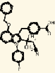 CC(C)(CC#N)c1c(Cc2ccc(C(=O)O)cc2)c2c(OCc3ccccc3)cccc2n1-c1ccc(F)cc1